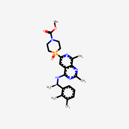 Cc1nc(N[C@H](C)c2cccc(C(F)(F)F)c2C)c2cc(P3(=O)CCN(C(=O)OC(C)(C)C)CC3)nc(C)c2n1